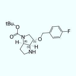 CC(C)(C)OC(=O)N1C[C@H](OCc2ccc(F)cc2)[C@H]2NCC[C@H]21